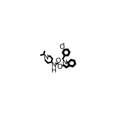 COc1cccc(Cn2c(OC(=O)NC3CCN(C(C)C)CC3)cc3ccccc32)c1